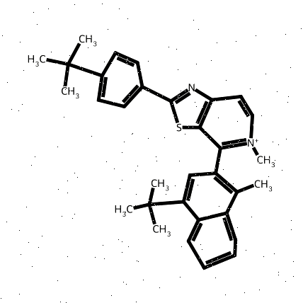 Cc1c(-c2c3sc(-c4ccc(C(C)(C)C)cc4)nc3cc[n+]2C)cc(C(C)(C)C)c2ccccc12